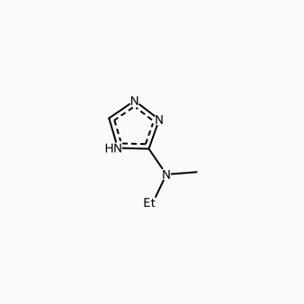 CCN(C)c1nnc[nH]1